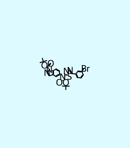 CC(C)(C)OC(=O)N(c1ccc2c(cnn2C(=O)OC(C)(C)C)c1)c1nnc(-c2cccc(Br)c2)s1